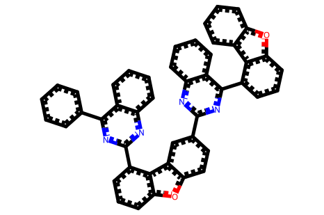 c1ccc(-c2nc(-c3cccc4oc5ccc(-c6nc(-c7cccc8oc9ccccc9c78)c7ccccc7n6)cc5c34)nc3ccccc23)cc1